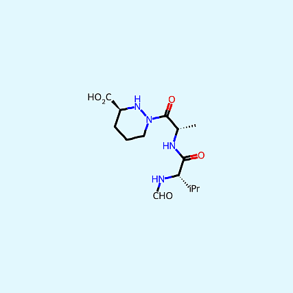 CC(C)[C@H](NC=O)C(=O)N[C@@H](C)C(=O)N1CCC[C@@H](C(=O)O)N1